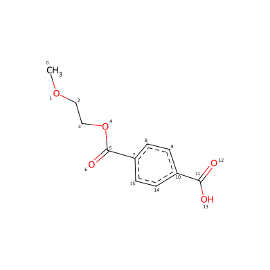 COCCOC(=O)c1ccc(C(=O)O)cc1